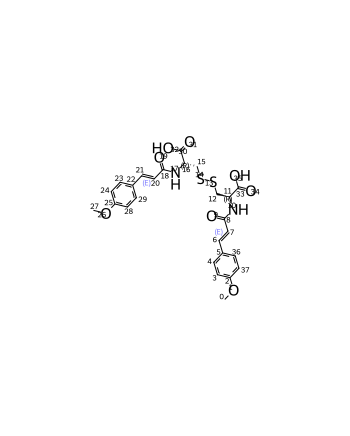 COc1ccc(/C=C/C(=O)N[C@@H](CSSC[C@H](NC(=O)/C=C/c2ccc(OC)cc2)C(=O)O)C(=O)O)cc1